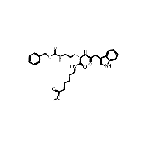 COC(=O)CCCCCNC(=O)[C@H](CCCNC(=O)OCc1ccccc1)NC(=O)Cc1c[nH]c2ccccc12